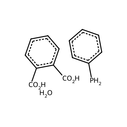 O.O=C(O)c1ccccc1C(=O)O.Pc1ccccc1